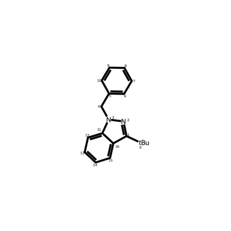 CC(C)(C)c1nn(Cc2ccccc2)c2ccccc12